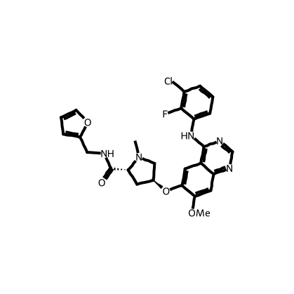 COc1cc2ncnc(Nc3cccc(Cl)c3F)c2cc1O[C@H]1C[C@H](C(=O)NCc2ccco2)N(C)C1